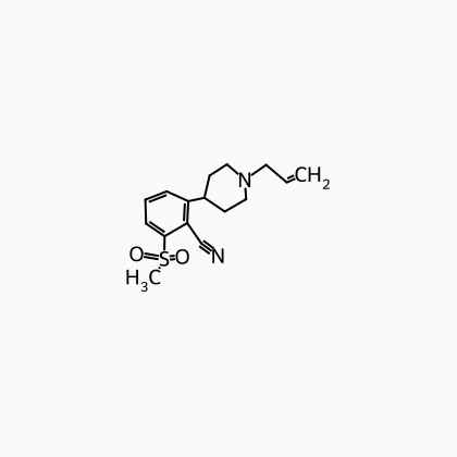 C=CCN1CCC(c2cccc(S(C)(=O)=O)c2C#N)CC1